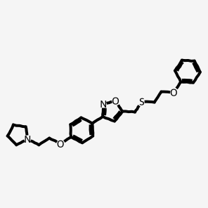 c1ccc(OCCSCc2cc(-c3ccc(OCCN4CCCC4)cc3)no2)cc1